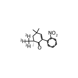 [2H]C([2H])([2H])[C@@]1(C)CC(C)(C)C=C(c2ccccc2[N+](=O)[O-])C1=O